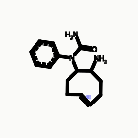 NC(=O)N(c1ccccc1)C1CC/C=C/CCC1N